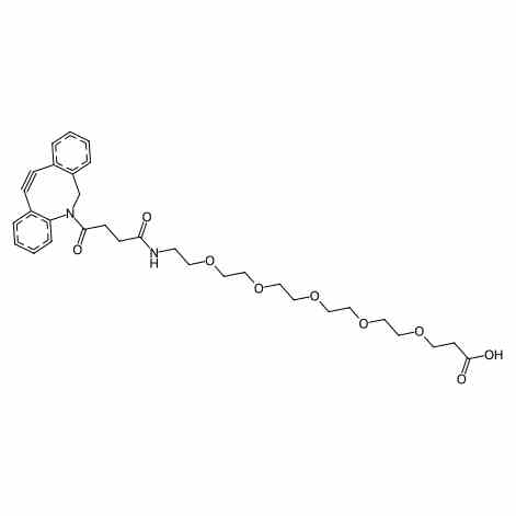 O=C(O)CCOCCOCCOCCOCCOCCNC(=O)CCC(=O)N1Cc2ccccc2C#Cc2ccccc21